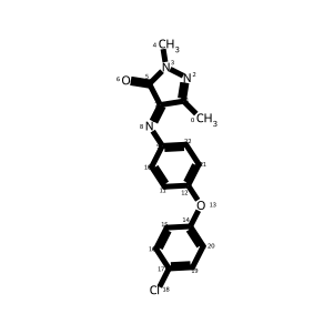 CC1=NN(C)C(=O)C1=Nc1ccc(Oc2ccc(Cl)cc2)cc1